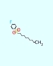 C=CCCCCCCCCS(=O)(=O)c1ccc(F)cc1